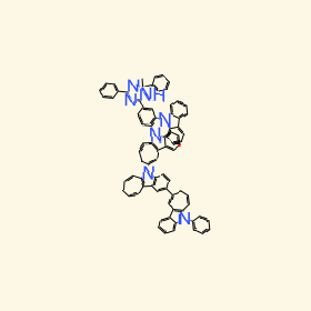 CC1(c2ccccc2)N=C(c2ccccc2)N=C(c2ccc(-n3c4c(c5ccccc53)C=C(n3c5c(c6cc(C7=Cc8c(n(-c9ccccc9)c9ccccc89)C=CC7)ccc63)C=CCC=C5)CC=C4)c(-n3c4ccccc4c4ccccc43)c2)N1